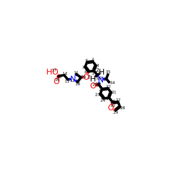 [2H]C([2H])(c1ccccc1OC1CN(CCC(=O)O)C1)N(C(=O)c1ccc(-c2ccco2)cc1)C(C)C